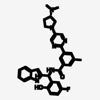 Cc1cc(C(=O)NC(c2cc3ccccc3[nH]2)c2cc(F)ccc2O)cc(-c2ncc(N3CC[C@H](N(C)C)C3)cn2)c1